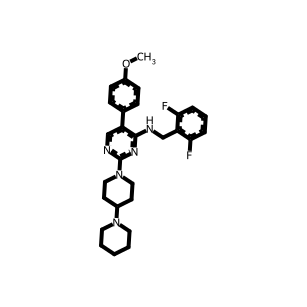 COc1ccc(-c2cnc(N3CCC(N4CCCCC4)CC3)nc2NCc2c(F)cccc2F)cc1